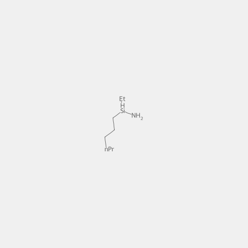 CCCCCC[SiH](N)CC